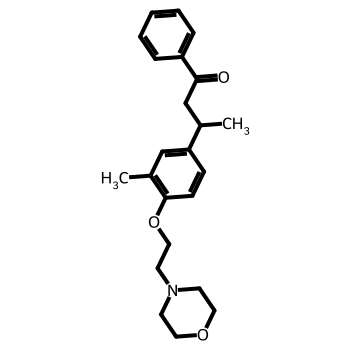 Cc1cc(C(C)CC(=O)c2ccccc2)ccc1OCCN1CCOCC1